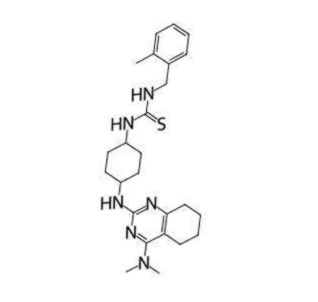 Cc1ccccc1CNC(=S)NC1CCC(Nc2nc3c(c(N(C)C)n2)CCCC3)CC1